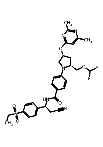 CCS(=O)(=O)c1ccc([C@H](CC#N)NC(=O)c2ccc(N3C[C@@H](Oc4cc(C)nc(C)n4)C[C@H]3COC(F)F)cc2)cc1